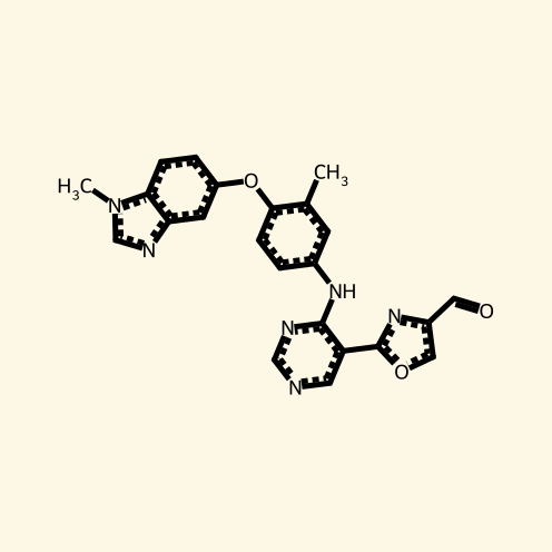 Cc1cc(Nc2ncncc2-c2nc(C=O)co2)ccc1Oc1ccc2c(c1)ncn2C